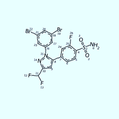 NS(=O)(=O)c1ccc(-c2cc(C(F)F)nn2-c2cc(Br)cc(Br)c2)cc1F